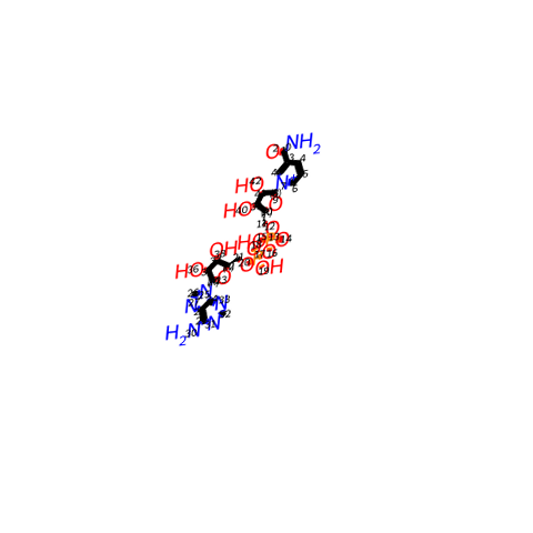 NC(=O)c1ccc[n+]([C@@H]2O[C@H](COP(=O)(O)OP(=O)(O)OC[C@H]3O[C@@H](n4cnc5c(N)ncnc54)C(O)C3O)C(O)C2O)c1